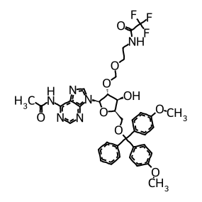 COc1ccc(C(OC[C@H]2O[C@@H](n3cnc4c(NC(C)=O)ncnc43)[C@H](OCOCCNC(=O)C(F)(F)F)[C@H]2O)(c2ccccc2)c2ccc(OC)cc2)cc1